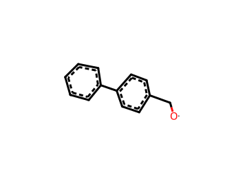 [O]Cc1ccc(-c2ccccc2)cc1